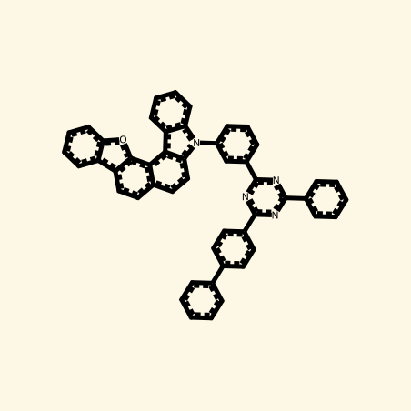 c1ccc(-c2ccc(-c3nc(-c4ccccc4)nc(-c4cccc(-n5c6ccccc6c6c7c(ccc8c9ccccc9oc87)ccc65)c4)n3)cc2)cc1